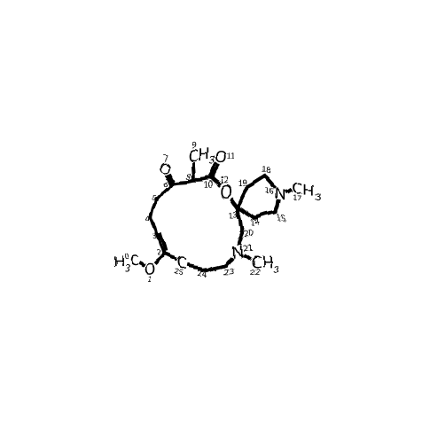 COC1=CCCC(=O)C(C)C(=O)OC2(CCN(C)CC2)CN(C)CCC1